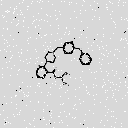 CC(C)OC(=O)c1cccnc1N1CCN(Cc2ccc(Oc3ccccc3)cc2)CC1